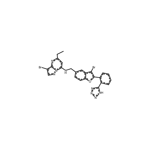 CCc1cc(NCc2ccc3oc(-c4ccccc4-c4nnn[nH]4)c(Br)c3c2)n2ncc(Br)c2n1